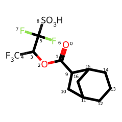 O=C(OC(C(F)(F)F)C(F)(F)S(=O)(=O)O)C1CC2CCCC1C2